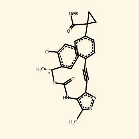 COC(=O)C1(c2ccc(C#Cc3snc(C)c3NC(=O)O[C@H](C)c3ccccc3Cl)cc2)CC1